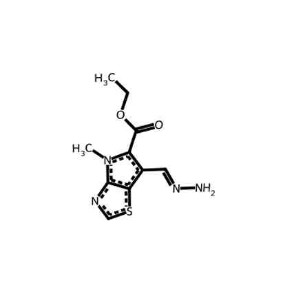 CCOC(=O)c1c(C=NN)c2scnc2n1C